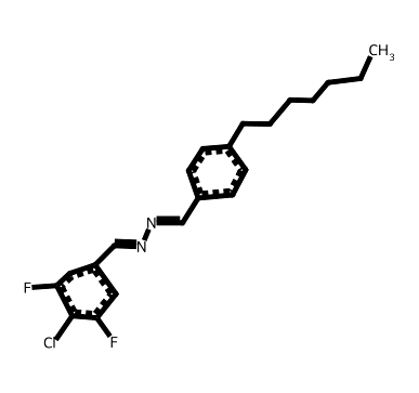 CCCCCCCc1ccc(C=NN=Cc2cc(F)c(Cl)c(F)c2)cc1